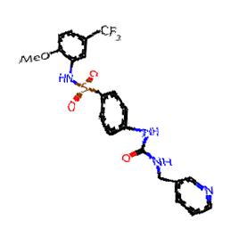 COc1ccc(C(F)(F)F)cc1NS(=O)(=O)c1ccc(NC(=O)NCc2cccnc2)cc1